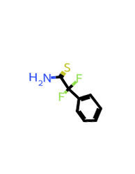 NC(=S)C(F)(F)c1ccccc1